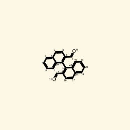 O=Cc1ccc2ccccc2c1-c1c(C=O)ccc2ccccc12